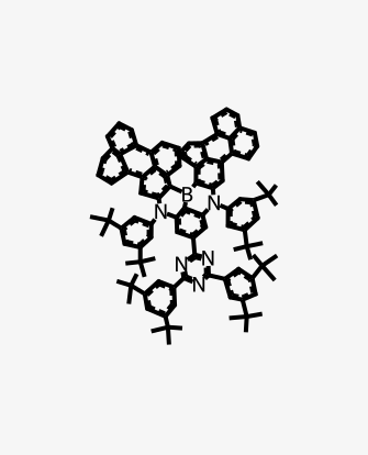 CC(C)(C)c1cc(-c2nc(-c3cc(C(C)(C)C)cc(C(C)(C)C)c3)nc(-c3cc4c5c(c3)N(c3cc(C(C)(C)C)cc(C(C)(C)C)c3)c3cc6c7cccc8cccc(c9cccc(c3B5c3c(cc5c%10cccc%11cccc(c%12cccc3c%125)c%11%10)N4c3cc(C(C)(C)C)cc(C(C)(C)C)c3)c96)c87)n2)cc(C(C)(C)C)c1